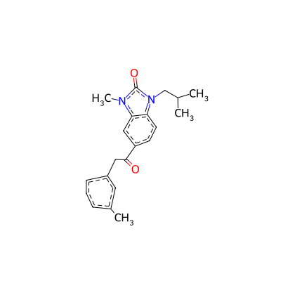 Cc1cccc(CC(=O)c2ccc3c(c2)n(C)c(=O)n3CC(C)C)c1